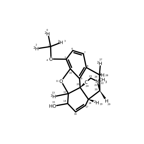 [2H]C([2H])([2H])Oc1ccc2c3c1OC1([2H])C(O)C=C[C@@]4([2H])[C@H](N(C)CC[C@]314)C2([2H])[2H]